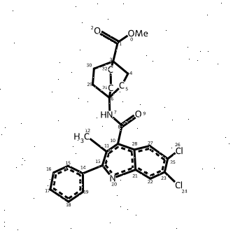 COC(=O)C12CCC(NC(=O)c3c(C)c(-c4ccccc4)nc4cc(Cl)c(Cl)cc34)(CC1)CC2